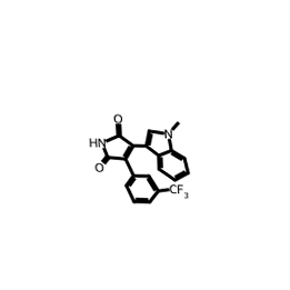 Cn1cc(C2=C(c3cccc(C(F)(F)F)c3)C(=O)NC2=O)c2ccccc21